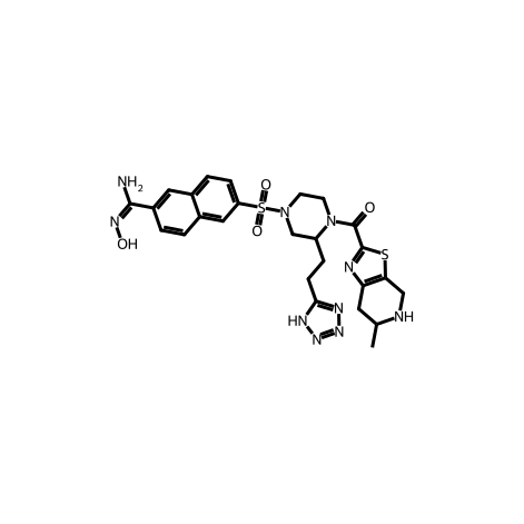 CC1Cc2nc(C(=O)N3CCN(S(=O)(=O)c4ccc5cc(/C(N)=N\O)ccc5c4)CC3CCc3nnn[nH]3)sc2CN1